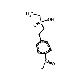 CCP(=O)(O)CCc1ccc([N+](=O)[O-])cc1